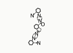 N#Cc1ccccc1N1CCN(C(=O)c2cccc3c2CC[C@H]3N2CCN(c3ccccc3C#N)CC2)CC1